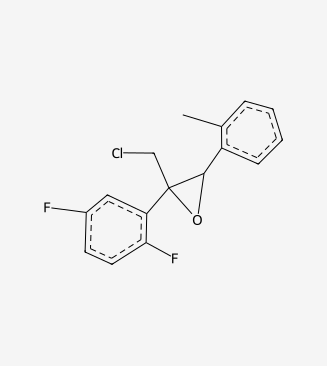 Cc1ccccc1C1OC1(CCl)c1cc(F)ccc1F